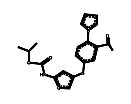 CC(=O)c1cc(Sc2coc(NC(=O)OC(C)C)c2)ccc1-n1cccc1